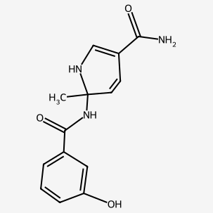 CC1(NC(=O)c2cccc(O)c2)C=CC(C(N)=O)=CN1